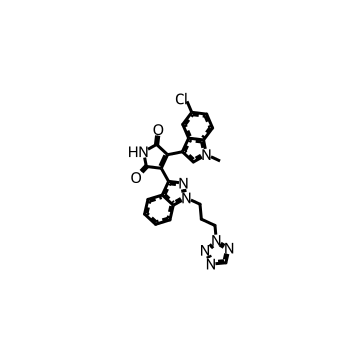 Cn1cc(C2=C(c3nn(CCCn4ncnn4)c4ccccc34)C(=O)NC2=O)c2cc(Cl)ccc21